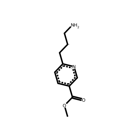 COC(=O)c1ccc(C[CH]CN)nc1